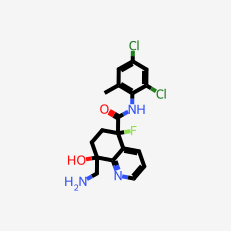 Cc1cc(Cl)cc(Cl)c1NC(=O)C1(F)CCC(O)(CN)c2ncccc21